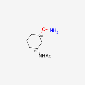 CC(=O)N[C@@H]1CCC[C@H](ON)C1